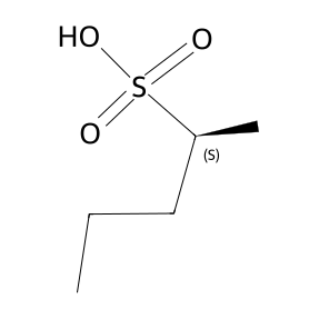 CCC[C@H](C)S(=O)(=O)O